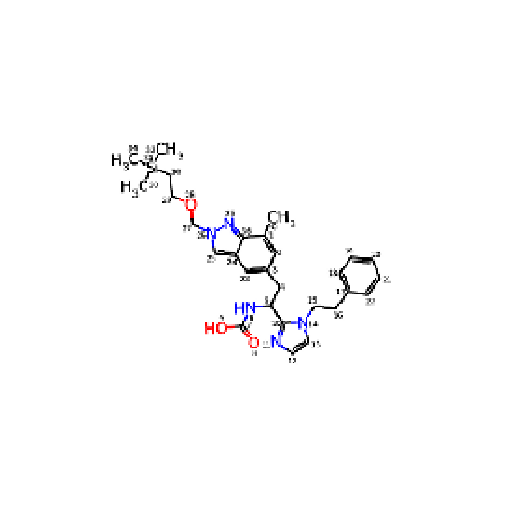 Cc1cc(CC(NC(=O)O)c2nccn2CCc2ccccc2)cc2cn(COCC[Si](C)(C)C)nc12